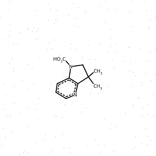 CC1(C)CN(C(=O)O)c2cccnc21